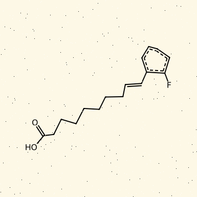 O=C(O)CCCCCCCC=Cc1ccccc1F